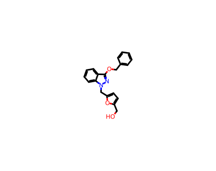 OCc1ccc(Cn2nc(OCc3ccccc3)c3ccccc32)o1